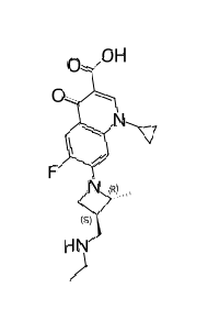 CCNC[C@H]1CN(c2cc3c(cc2F)c(=O)c(C(=O)O)cn3C2CC2)[C@@H]1C